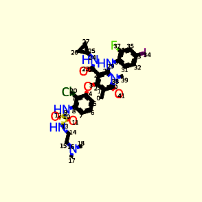 Cc1c(Oc2cccc(NS(=O)(=O)NCCN(C)C)c2Cl)c(C(=O)NC2CC2)c(Nc2ccc(I)cc2F)n(C)c1=O